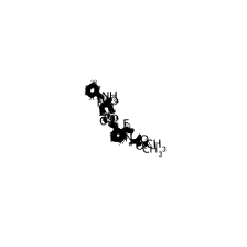 CC1(C)OCC(Cn2cc(F)c3c(C=CS(=O)(=O)N4CCC5(CC4)N=C(C4CCCCC4)NC5=O)cccc32)O1